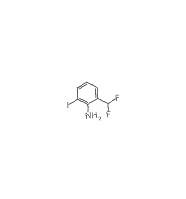 Nc1c(I)cccc1C(F)F